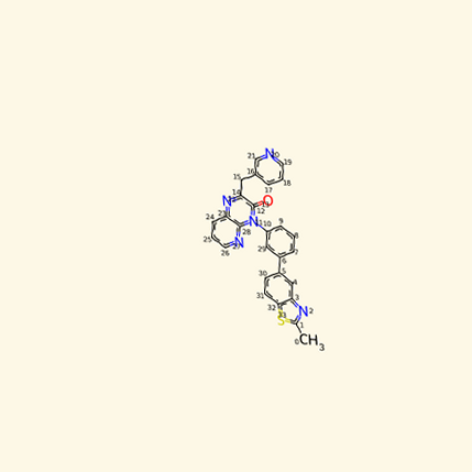 Cc1nc2cc(-c3cccc(-n4c(=O)c(Cc5cccnc5)nc5cccnc54)c3)ccc2s1